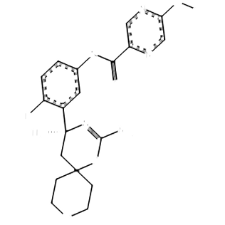 COc1cnc(C(=O)Nc2ccc(F)c([C@]3(C)CC4(CCOCC4)OC(N)=N3)c2)cn1